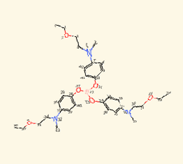 CCOCCN(C)c1ccc(OB(Oc2ccc(N(C)CCOCC)cc2)Oc2ccc(N(C)CCOCC)cc2)cc1